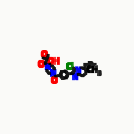 CCCC1(C)CCc2nc(-c3ccc(C(=O)N4CCN(C(=O)C5(O)COC5)CC4)cc3)c(Cl)n2C1